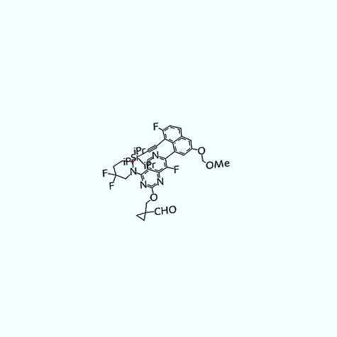 COCOc1cc(-c2ncc3c(N4CCCC(F)(F)C4)nc(OCC4(C=O)CC4)nc3c2F)c2c(C#C[Si](C(C)C)(C(C)C)C(C)C)c(F)ccc2c1